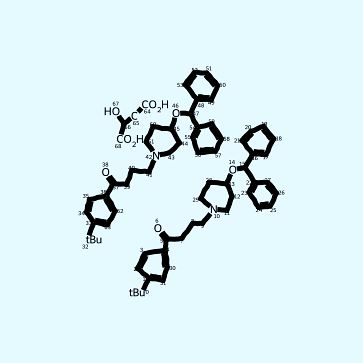 CC(C)(C)c1ccc(C(=O)CCCN2CCC(OC(c3ccccc3)c3ccccc3)CC2)cc1.CC(C)(C)c1ccc(C(=O)CCCN2CCC(OC(c3ccccc3)c3ccccc3)CC2)cc1.O=C(O)CC(O)C(=O)O